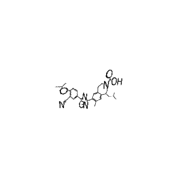 Cc1cc2c(cc1-c1noc(-c3ccc(OC(C)C)c(C#N)c3)n1)CCN(C(=O)O)CC2CC(C)C